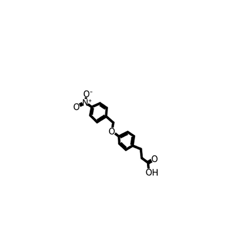 O=C(O)CCc1ccc(OCc2ccc([N+](=O)[O-])cc2)cc1